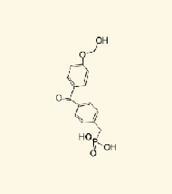 O=C(c1ccc(CP(=O)(O)O)cc1)c1ccc(OCO)cc1